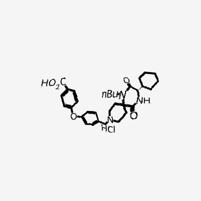 CCCCN1C(=O)[C@H](C2CCCCC2)NC(=O)C12CCN(Cc1ccc(Oc3ccc(C(=O)O)cc3)cc1)CC2.Cl